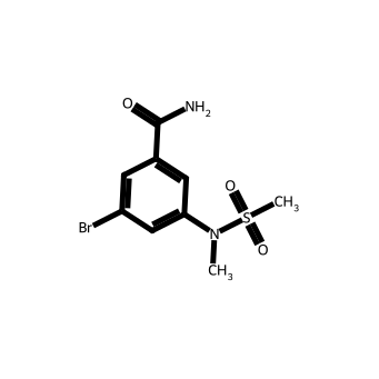 CN(c1cc(Br)cc(C(N)=O)c1)S(C)(=O)=O